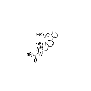 CCCC(=O)c1nc(Cc2ccc(-c3ccccc3C(=O)O)cn2)n(CCC)n1